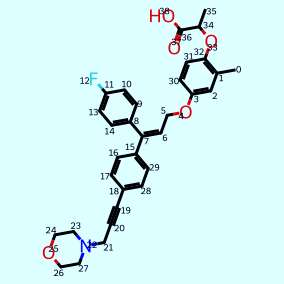 Cc1cc(OCC=C(c2ccc(F)cc2)c2ccc(C#CCN3CCOCC3)cc2)ccc1OC(C)C(=O)O